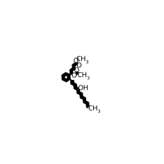 CCCCCCCCC(O)/C=C/C=C/[C@@H]1CCCC[C@H]1C(CCCC(=O)OC)OC(C)=O